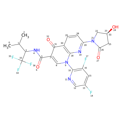 CC(C)C(NC(=O)c1cn(-c2ncc(F)cc2F)c2nc(N3C[C@@H](O)CC3=O)ccc2c1=O)C(F)(F)F